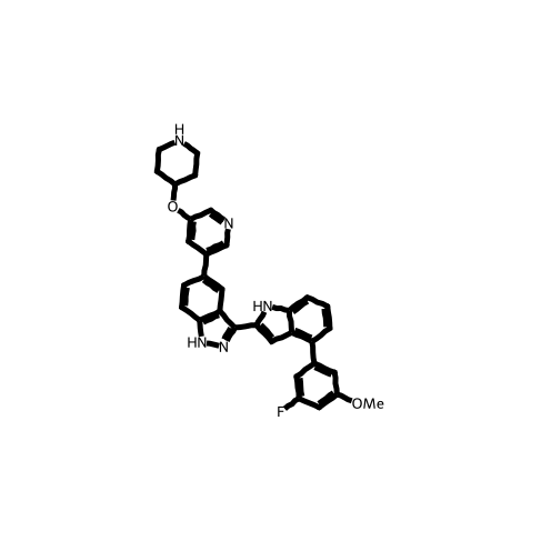 COc1cc(F)cc(-c2cccc3[nH]c(-c4n[nH]c5ccc(-c6cncc(OC7CCNCC7)c6)cc45)cc23)c1